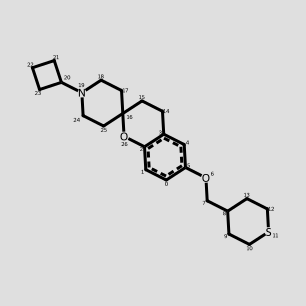 c1cc2c(cc1OCC1CCSCC1)CCC1(CCN(C3CCC3)CC1)O2